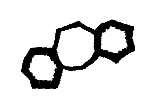 c1ccc2c(c1)CCc1ccccc1C2